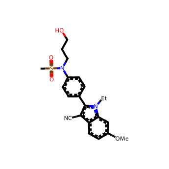 CCn1c(-c2ccc(N(CCCO)S(C)(=O)=O)cc2)c(C#N)c2ccc(OC)cc21